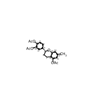 CC(=O)Oc1ccc([C@@H]2CCc3c(OC(C)=O)cc(C)cc3O2)cc1OC(C)=O